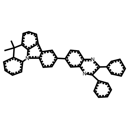 CC1(C)c2ccccc2-n2c3ccc(-c4ccc5nc(-c6ccccc6)c(-c6ccccc6)nc5c4)cc3c3cccc1c32